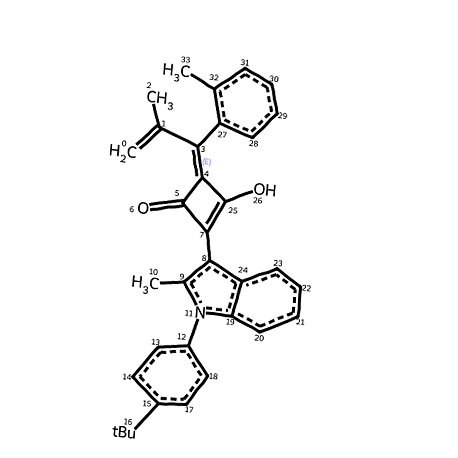 C=C(C)/C(=C1\C(=O)C(c2c(C)n(-c3ccc(C(C)(C)C)cc3)c3ccccc23)=C1O)c1ccccc1C